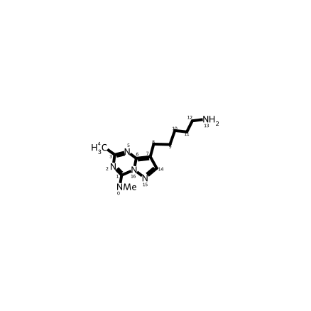 CNc1nc(C)nc2c(CCCCCN)cnn12